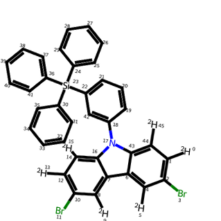 [2H]c1c(Br)c([2H])c2c3c([2H])c(Br)c([2H])c([2H])c3n(-c3cccc([Si](c4ccccc4)(c4ccccc4)c4ccccc4)c3)c2c1[2H]